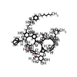 CCCCCCOc1ccc(S(=O)(=O)NCCNCC2=C(O)CC3C(c4cc(ccc4O)[C@H]4NC(=O)[C@@H]5NC(=O)[C@H](CC(N)=O)NC(=O)[C@H](NC(=O)[C@@H](CC(C)C)NC)[C@H](O)[C@H]6C=C[C@@H](Oc7cc5cc(c7O[C@@H]5C[C@H](CN)[C@@H](O)[C@H](O)[C@H]5O)O[C@@H]5CC[C@@H](C=C5Cl)[C@@H](O)[C@H](NC4=O)C(=O)N[C@@H]3C(=O)NC3C4CC5CC(C4)CC3C5)[C@H](C)C6)[C@H]2O)cc1